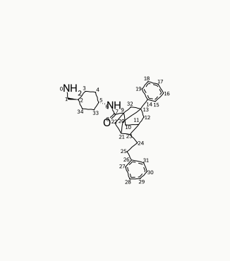 NC[C@H]1CC[C@H](NC(=O)C23CC4CC(c5ccccc5)(CC(C2)C4CCc2ccccc2)C3)CC1